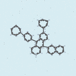 c1ccc(-c2ccc(-c3c4ccncc4c(-c4ccc5ccccc5c4)c4ccc(-c5ccccc5)cc34)cc2)cc1